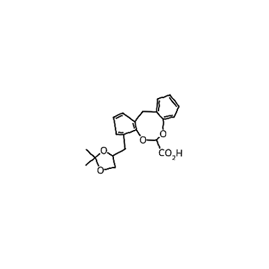 CC1(C)OCC(Cc2cccc3c2OC(C(=O)O)Oc2ccccc2C3)O1